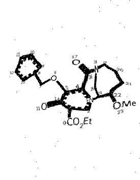 CCOC(=O)c1cn2c(c(OCc3ccccc3)c1=O)C(=O)N1CCCC(OC)C2C1